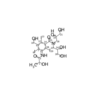 CC(O)C(=O)Nc1c(I)c(CO)c(I)c(C(=O)N(CC(O)CO)CC(O)CO)c1I